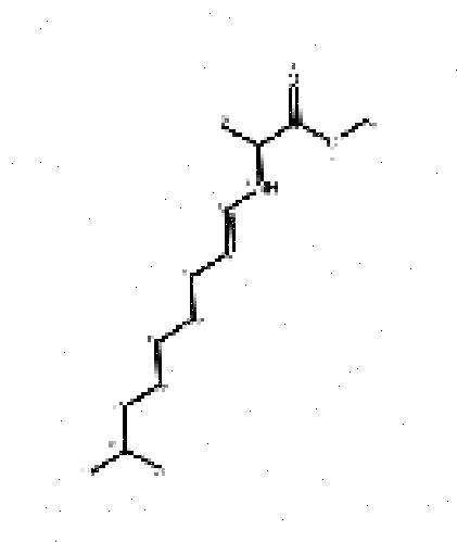 COC(=O)C(C)NC=CCCCCCC(C)C